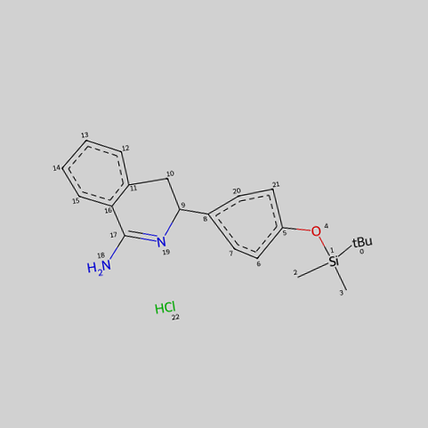 CC(C)(C)[Si](C)(C)Oc1ccc(C2Cc3ccccc3C(N)=N2)cc1.Cl